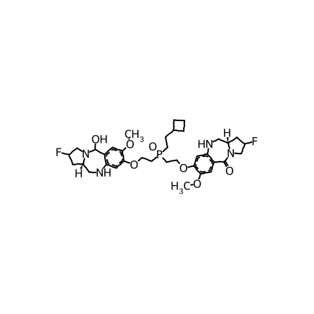 COc1cc2c(cc1OCCP(=O)(CCOc1cc3c(cc1OC)C(O)N1CC(F)C[C@H]1CN3)CCC1CCC1)NC[C@@H]1CC(F)CN1C2=O